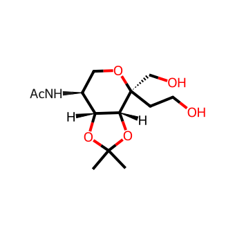 CC(=O)N[C@H]1CO[C@@](CO)(CCO)[C@@H]2OC(C)(C)O[C@H]12